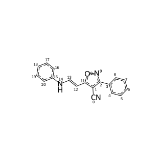 N#Cc1c(-c2ccccc2)noc1C=CNc1ccccc1